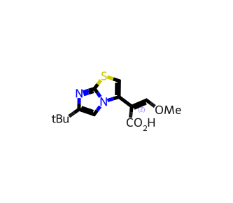 CO/C=C(\C(=O)O)c1csc2nc(C(C)(C)C)cn12